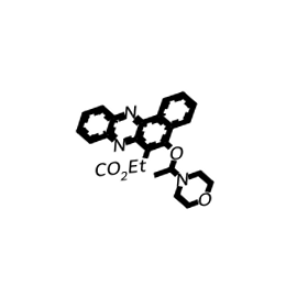 CCOC(=O)c1c(OC(C)N2CCOCC2)c2ccccc2c2nc3ccccc3nc12